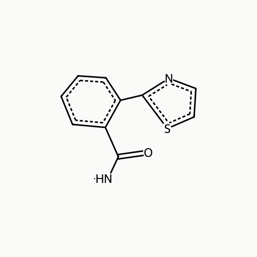 [NH]C(=O)c1ccccc1-c1nccs1